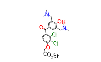 CCOC(=O)COc1ccc(C(=O)c2cc(CN(C)C)c(O)c(CN(C)C)c2)c(Cl)c1Cl